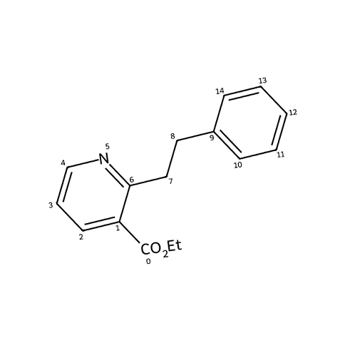 CCOC(=O)c1cccnc1CCc1ccccc1